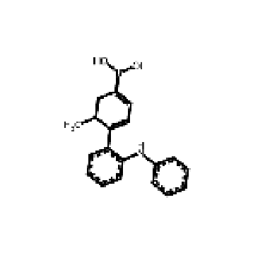 CC1CC(B(O)O)=CC=C1c1ccccc1Nc1ccccc1